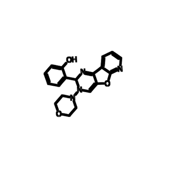 Oc1ccccc1C1N=c2c(oc3ncccc23)=CN1N1CCOCC1